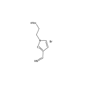 CCCCCCCCN1[C+]=C(C=N)C=C1.[Br-]